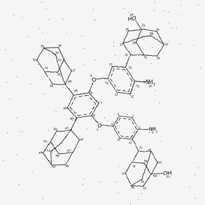 Nc1ccc(Oc2cc(Oc3ccc(N)c(C4C5CC6CC4CC(O)(C6)C5)c3)c(C34CC5CC(CC(C5)C3)C4)cc2C23CC4CC(CC(C4)C2)C3)cc1C1C2CC3CC1CC(O)(C3)C2